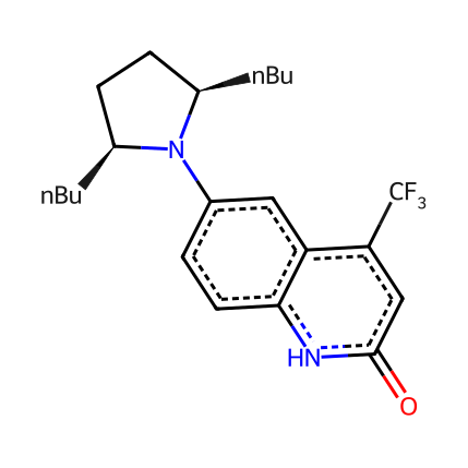 CCCC[C@@H]1CC[C@H](CCCC)N1c1ccc2[nH]c(=O)cc(C(F)(F)F)c2c1